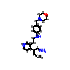 C/C=C(\CN)c1ccncc1CCNc1ccc(CN2CCOCC2)cc1